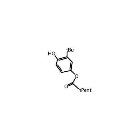 CCCCCC(=O)Oc1ccc(O)c(C(C)(C)C)c1